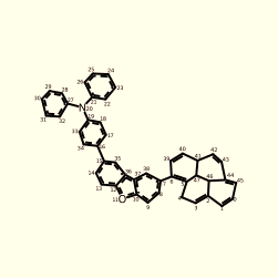 C1=CC2=CCC3=C(c4ccc5oc6ccc(-c7ccc(N(c8ccccc8)c8ccccc8)cc7)cc6c5c4)C=CC4C=CC(=C1)C2C34